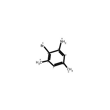 Cc1cc(C)c(Br)c(N)c1